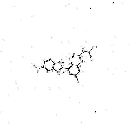 COc1ccc2[nH]c(-c3cc(C)cc4nc(OC(F)F)cnc34)nc2c1